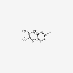 Fc1ccc(OC(C(C(F)(F)F)C(F)(F)F)C(F)(F)F)cc1